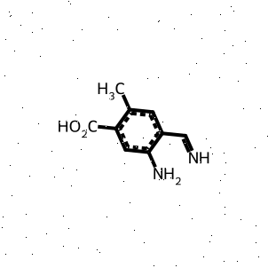 Cc1cc(C=N)c(N)cc1C(=O)O